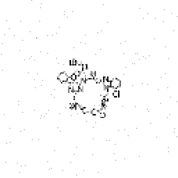 CC1CN2CCC1n1c(nc3cccc(Cl)c31)O[C@H]1C[C@@H](C(=O)OC(C)(C)C)N(C1)c1nc(nc3c1oc1ccccc13)CC(=O)NCCCC2=O